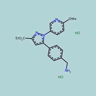 CCOC(=O)c1cc(-c2ccc(CN)cc2)n(-c2ccc(OC)nc2)n1.Cl.Cl